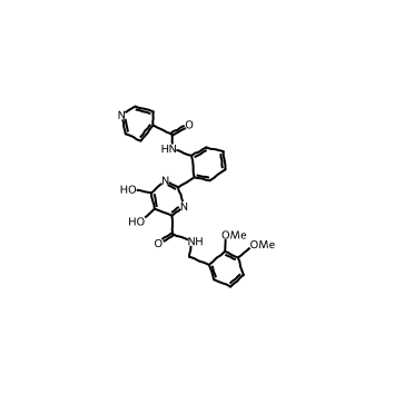 COc1cccc(CNC(=O)c2nc(-c3ccccc3NC(=O)c3ccncc3)nc(O)c2O)c1OC